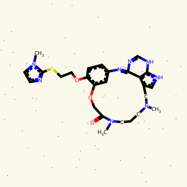 CN1CCCN(C)C(=O)COc2cc(ccc2OCCSc2nccn2C)/N=C2/N=CNc3[nH]cc(c32)C1